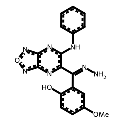 COc1ccc(O)c(C(=NN)c2nc3nonc3nc2Nc2ccccc2)c1